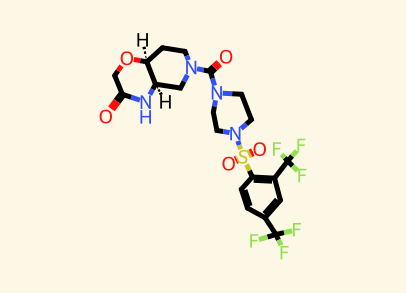 O=C1CO[C@H]2CCN(C(=O)N3CCN(S(=O)(=O)c4ccc(C(F)(F)F)cc4C(F)(F)F)CC3)C[C@H]2N1